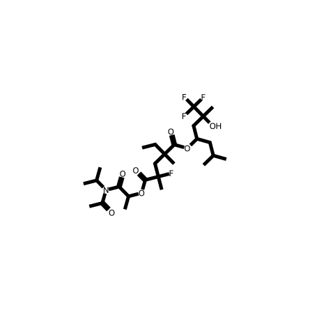 CCC(C)(CC(C)(F)C(=O)OC(C)C(=O)N(C(C)=O)C(C)C)C(=O)OC(CC(C)C)CC(C)(O)C(F)(F)F